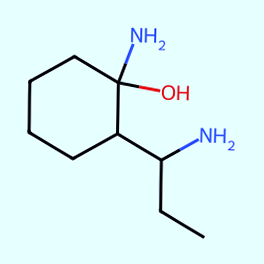 CCC(N)C1CCCCC1(N)O